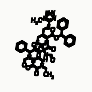 CCN1CCN(N(C=O)C(C(=O)N[C@]2(NC=O)C(=O)N3C(C(=O)OC(c4ccccc4)c4ccccc4)=C(CSc4nnnn4C)CS[C@H]32)c2ccccc2)C(=O)C1=O